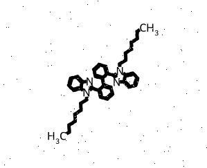 CCCCCCCCn1c(-c2ccccc2-c2ccccc2-c2nc3ccccc3n2CCCCCCCC)nc2ccccc21